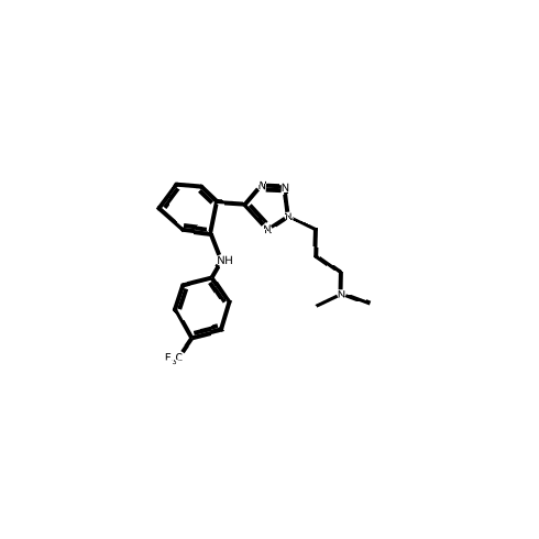 CN(C)CCCn1nnc(-c2ccccc2Nc2ccc(C(F)(F)F)cc2)n1